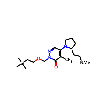 CNCC[C@@H]1CCCN1c1cnn(COCC[Si](C)(C)C)c(=O)c1C(F)(F)F